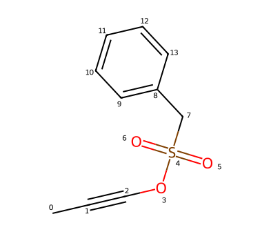 CC#COS(=O)(=O)Cc1ccccc1